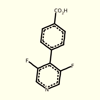 O=C(O)c1ccc(-c2c(F)cncc2F)cc1